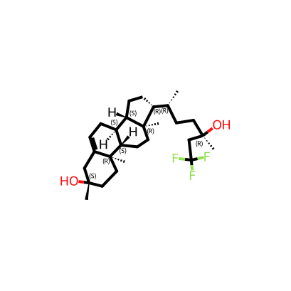 C[C@H](CC[C@@](C)(O)CC(F)(F)F)[C@H]1CC[C@H]2[C@@H]3CC=C4C[C@@](C)(O)CC[C@]4(C)[C@H]3CC[C@]12C